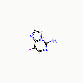 Nc1ncc(I)c2nccn12